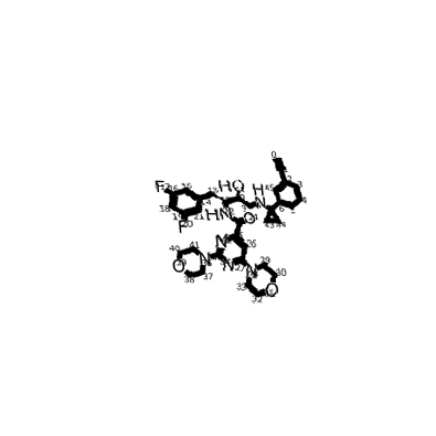 C#Cc1cccc(C2(NC[C@H](O)[C@H](Cc3cc(F)cc(F)c3)NC(=O)c3cc(N4CCOCC4)nc(N4CCOCC4)n3)CC2)c1